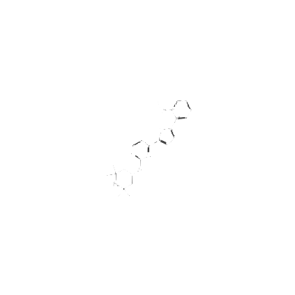 COc1ccccc1-c1ccc(-c2ccnc(NC3CC(C)(C)NC(C)(C)C3)n2)s1